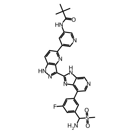 CC(C)(C)C(=O)Nc1cncc(-c2ccc3[nH]nc(-c4nc5c(-c6cc(F)cc(C(N)S(C)(=O)=O)c6)cncc5[nH]4)c3n2)c1